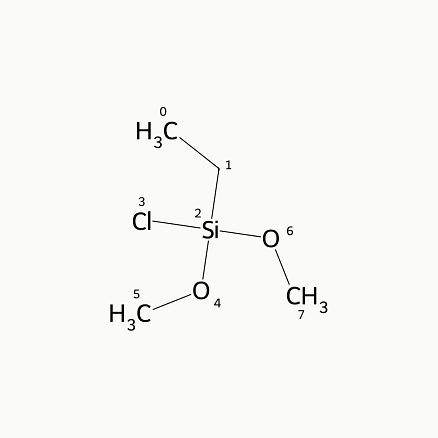 CC[Si](Cl)(OC)OC